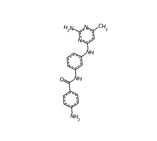 Cc1cc(Nc2cccc(NC(=O)c3ccc(N)cc3)c2)nc(N)n1